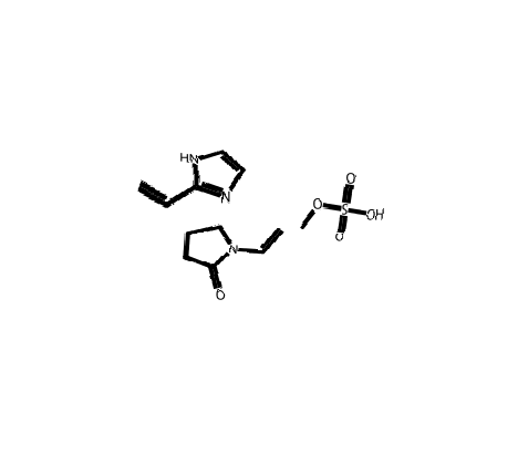 C=CN1CCCC1=O.C=Cc1ncc[nH]1.COS(=O)(=O)O